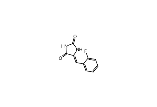 O=C1NC(=O)C(=Cc2ccccc2F)N1